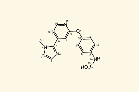 Cn1ncnc1-c1cc(Oc2ccc(NC(=O)O)cc2)ncn1